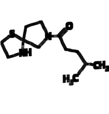 CC(C)CCC(=O)N1CCC2(C1)NCCS2